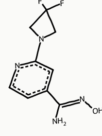 NC(=NO)c1ccnc(N2CC(F)(F)C2)c1